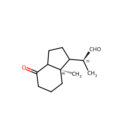 C[C@H](C=O)C1CCC2C(=O)CCC[C@@]21C